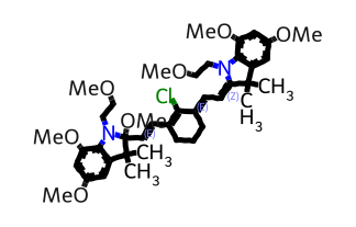 COCCN1/C(=C\C=C2/CCCC(/C=C/C3(OC)N(CCOC)c4c(OC)cc(OC)cc4C3(C)C)=C2Cl)C(C)(C)c2cc(OC)cc(OC)c21